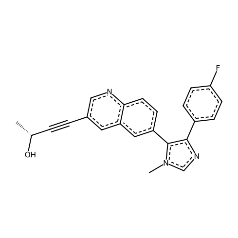 C[C@@H](O)C#Cc1cnc2ccc(-c3c(-c4ccc(F)cc4)ncn3C)cc2c1